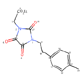 CCOC(=O)CN1C(=O)C(=O)N(CCc2ccc(C)cc2)C1=O